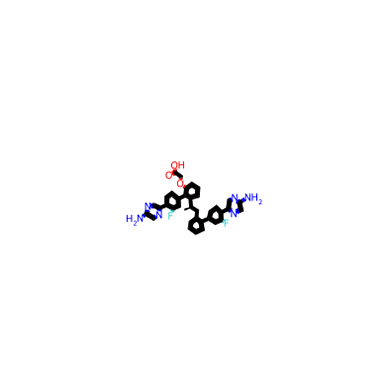 C[C@H](Cc1ccccc1-c1ccc(-c2cnc(N)cn2)c(F)c1)c1cccc(OCC(=O)O)c1-c1ccc(-c2cnc(N)cn2)c(F)c1